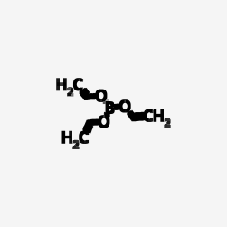 C=COB(OC=C)OC=C